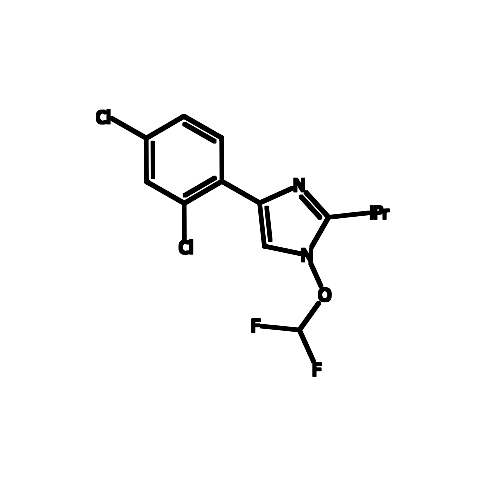 CC(C)c1nc(-c2ccc(Cl)cc2Cl)cn1OC(F)F